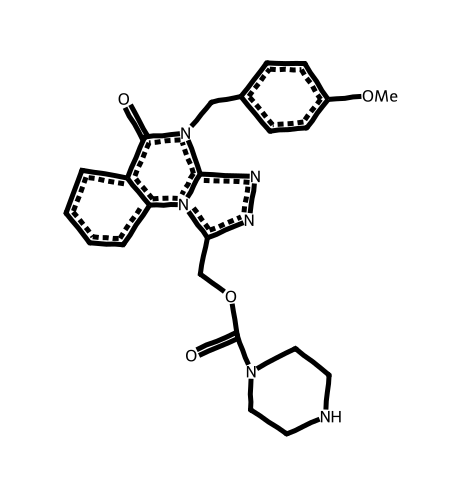 COc1ccc(Cn2c(=O)c3ccccc3n3c(COC(=O)N4CCNCC4)nnc23)cc1